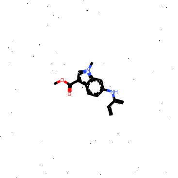 C=CC(=C)Nc1ccc2c(C(=O)OC)cn(C)c2c1